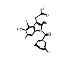 Cc1c(CC(N)=O)c2c(F)c(O)c(F)cc2n1C(=O)c1cccc(F)c1